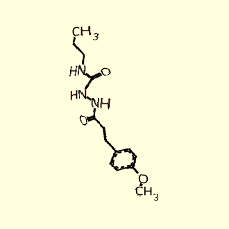 CCCNC(=O)NNC(=O)CCc1ccc(OC)cc1